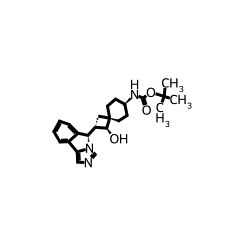 CC(C)(C)OC(=O)N[C@H]1CC[C@]2(CC1)C[C@@H]([C@H]1c3ccccc3-c3cncn31)[C@@H]2O